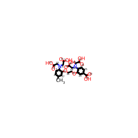 Cc1ccc(N(CC(=O)O)CC(=O)O)c(OCCOc2cc(C(=O)O)ccc2N(CC(=O)O)CC(=O)O)c1